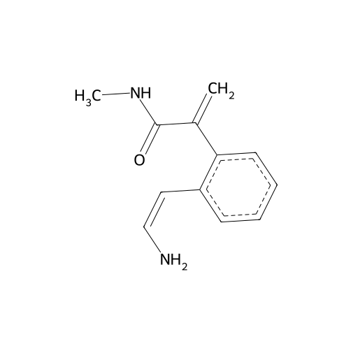 C=C(C(=O)NC)c1ccccc1/C=C\N